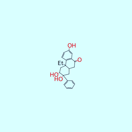 CCC12CC(O)C(O)(c3ccccc3)CC1CC(=O)c1cc(O)ccc12